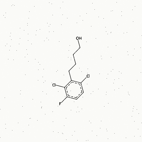 OCCCCc1c(Cl)ccc(F)c1Cl